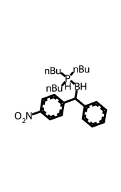 CCCC[PH](BC(c1ccccc1)c1ccc([N+](=O)[O-])cc1)(CCCC)CCCC